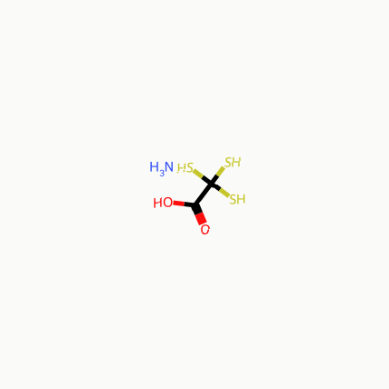 N.O=C(O)C(S)(S)S